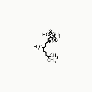 CC(C)CCCC(C)CCCCC(P(=O)(O)O)P(=O)(O)O